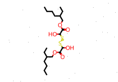 CCCCC(CC)COC(=O)C(O)SSC(O)C(=O)OCC(CC)CCCC